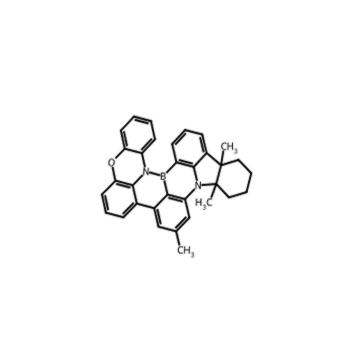 Cc1cc2c3c(c1)N1c4c(cccc4C4(C)CCCCC14C)B3N1c3ccccc3Oc3cccc-2c31